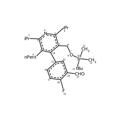 CCCCCc1c(C(C)C)nc(C(C)C)c(CO[Si](C)(C)C(C)(C)C)c1-c1ccc(F)c(C=O)c1